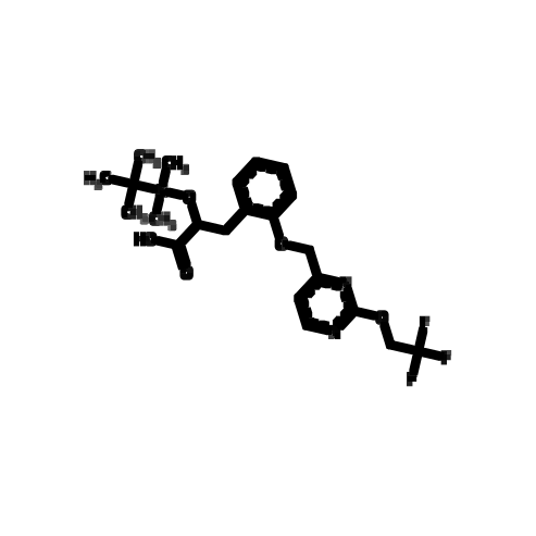 CC(C)(C)[Si](C)(C)OC(Cc1ccccc1OCc1ccnc(OCC(F)(F)F)n1)C(=O)O